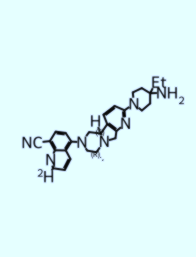 [2H]c1ccc2c(N3C[C@@H](C)N4Cc5nc(N6CCC(N)(CC)CC6)ccc5[C@H]4C3)ccc(C#N)c2n1